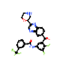 O=C(Nc1cc(F)c(F)c(C(=O)c2ccc3nc(C4CNCCO4)cnc3c2)c1)c1cccc(C(F)(F)F)c1